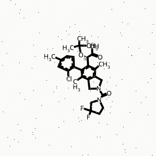 Cc1ccc(-c2c(C)c3c(c(C)c2[C@H](OC(C)(C)C)C(=O)O)CN(C(=O)N2CCC(F)(F)C2)C3)c(Cl)c1